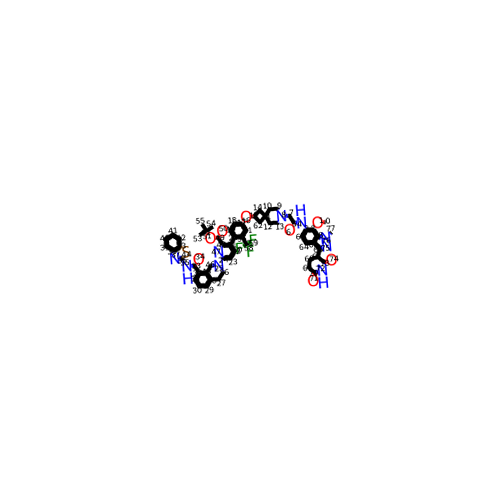 COc1c(NC(=O)CN2CCC3(CC2)CC(Oc2ccc(-c4ccc(N5CCc6cccc(C(=O)Nc7nc8ccccc8s7)c6C5)nc4C(=O)OC(C)(C)C)c(C(F)(F)F)c2)C3)ccc2c(C3CCC(=O)NC3=O)nn(C)c12